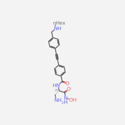 CCCCCCNCc1ccc(C#Cc2ccc(C(=O)N[C@@H](CN)C(=O)NO)cc2)cc1